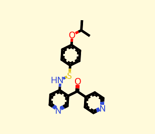 CC(C)Oc1ccc(SNc2ccncc2C(=O)c2ccncc2)cc1